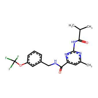 Cc1cc(C(=O)NCc2cccc(OC(F)(F)F)c2)nc(NC(=O)C(C)C)n1